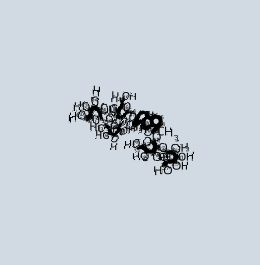 C=C1C[C@@]23CCC4[C@](C)(C(=O)O[C@@H]5OC(CO)[C@@H](O)[C@@H](O)C5O[C@@H]5OC(CO)[C@@H](O)[C@@H](O)C5O)CCC[C@@]4(C)[C@@H]2CC[C@]1(OC[C@@H]1OC(CO)[C@@H](O)[C@@H](COC[C@@H]2OC(CO)[C@@H](O)[C@@H](O)C2O)C1O[C@@H]1OC(CO)[C@@H](O)[C@@H](O)C1O)C3